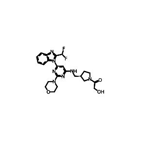 O=C(CO)N1CC[C@H](CNc2cc(-n3c(C(F)F)nc4ccccc43)nc(N3CCOCC3)n2)C1